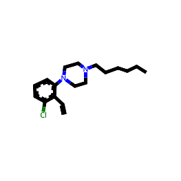 C=Cc1c(Cl)cccc1N1CCN(CCCCCC)CC1